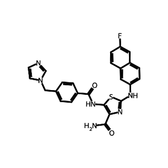 NC(=O)c1nc(Nc2ccc3cc(F)ccc3c2)sc1NC(=O)c1ccc(Cn2ccnc2)cc1